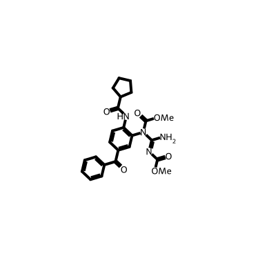 COC(=O)N=C(N)N(C(=O)OC)c1cc(C(=O)c2ccccc2)ccc1NC(=O)C1CCCC1